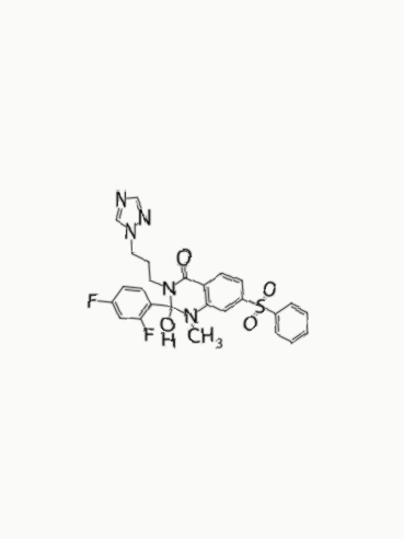 CN1c2cc(S(=O)(=O)c3ccccc3)ccc2C(=O)N(CCCn2cncn2)C1(O)c1ccc(F)cc1F